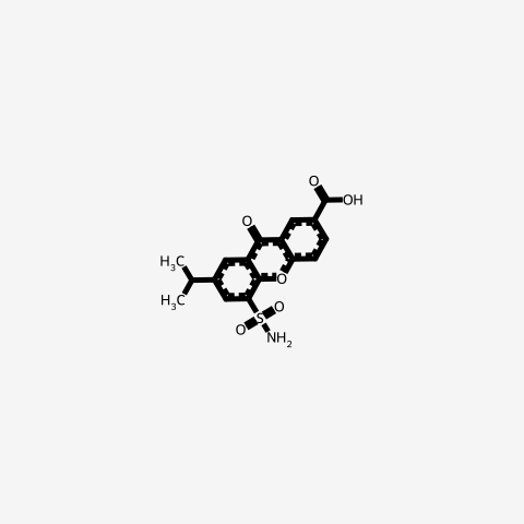 CC(C)c1cc(S(N)(=O)=O)c2oc3ccc(C(=O)O)cc3c(=O)c2c1